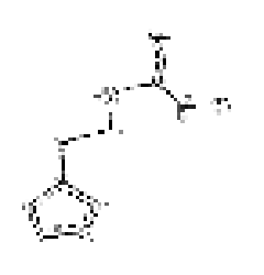 N=C(NCCc1ccsc1)N[N+](=O)[O-]